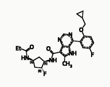 CCC(=O)N[C@@H]1C[C@@H](F)[C@H](NC(=O)c2c(C)[nH]c3c(-c4cc(F)ccc4OCC4CC4)ncnc23)C1